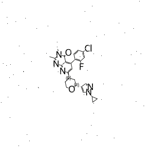 Cc1nc2nc([C@@H]3CCO[C@@H](c4cnn(C5CC5)c4)C3)cc(-c3ccc(Cl)cc3F)c2c(=O)n1C